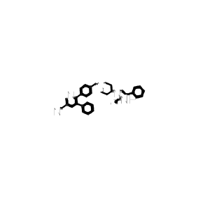 N#Cc1cnc(-c2ccc(CN3CCC(n4cc(-c5ccccc5)[nH]c4=O)CC3)cc2)c(-c2ccccc2)c1